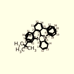 CC(C)(C)c1ccnc(N2c3ccccc3N(c3ccccc3)C2c2c(-c3ccccc3)cccc2-c2ccccc2)c1